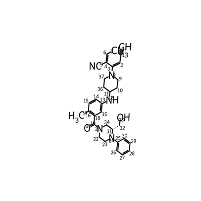 C#C/C=C(\C(C#N)=C/C)N1CCC(Nc2ccc(C)c(C(=O)N3CCN(c4ccccc4)[C@@H](CO)C3)c2)CC1